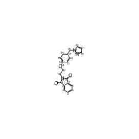 O=C1c2ccccc2C(=O)N1CCOc1ccc(Cn2cccn2)cc1